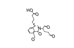 CN(C(=O)c1c(C=O)cccc1SCCCC(=O)O)C(C=O)CCC=O